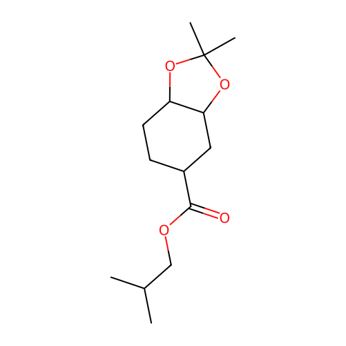 CC(C)COC(=O)C1CCC2OC(C)(C)OC2C1